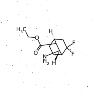 CCOC(=O)C1[C@H]2CCC([C@@H]1N)C(F)(F)C2